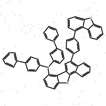 c1ccc(-c2ccc(N(c3cccc(-c4ccccc4)c3)c3cccc4oc5c6ccccc6c(-c6ccc(-c7cccc8oc9ccccc9c78)cc6)cc5c34)cc2)cc1